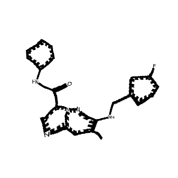 Cc1cc2ncc(C(=O)Nc3ccccc3)n2nc1NCc1cccc(F)c1